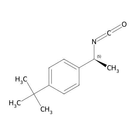 C[C@H](N=C=O)c1ccc(C(C)(C)C)cc1